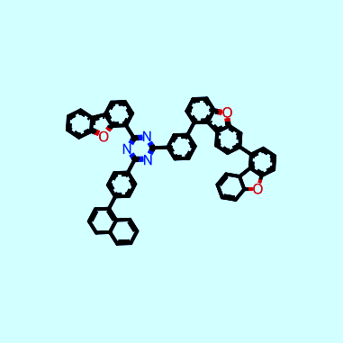 C1=CC2=C(c3ccc(-c4nc(-c5cccc(-c6cccc7oc8cc(-c9cccc%10c9C9C=CC=CC9O%10)ccc8c67)c5)nc(-c5cccc6c5oc5ccccc56)n4)cc3)C=CCC2C=C1